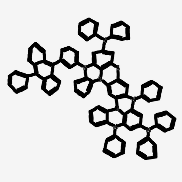 c1ccc(-c2c3ccccc3c(-c3cccc(N4c5ccccc5B5c6cc7c(cc6Sc6cc(N(c8ccccc8)c8ccccc8)cc4c65)N(c4ccccc4)c4cc(N(c5ccccc5)c5ccccc5)cc5c4B7c4ccccc4N5c4ccccc4)c3)c3ccccc23)cc1